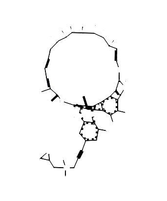 CO[C@H]1/C=C/O[C@@]2(C)Oc3c(C)c(O)c4c(=O)c(c5oc6cc(C#CC[N+](C)(C)CC7CS7)cc(O)c6nc-5c4c3C2=O)NC(=O)/C(C)=C\C=C\[C@H](C)[C@H](O)[C@@H](C)[C@@H](O)[C@@H](C)[C@H](OC(C)=O)[C@@H]1C